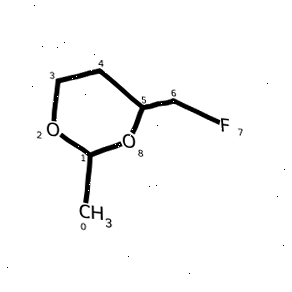 CC1OCCC(CF)O1